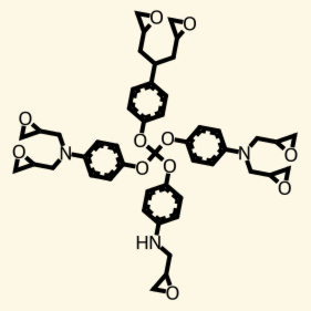 c1cc(OC(Oc2ccc(C(CC3CO3)CC3CO3)cc2)(Oc2ccc(N(CC3CO3)CC3CO3)cc2)Oc2ccc(N(CC3CO3)CC3CO3)cc2)ccc1NCC1CO1